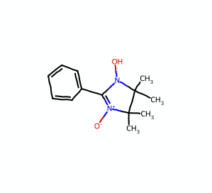 CC1(C)N(O)C(c2ccccc2)=[N+]([O-])C1(C)C